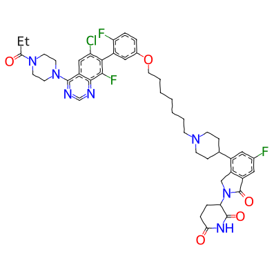 CCC(=O)N1CCN(c2ncnc3c(F)c(-c4cc(OCCCCCCCN5CCC(c6cc(F)cc7c6CN(C6CCC(=O)NC6=O)C7=O)CC5)ccc4F)c(Cl)cc23)CC1